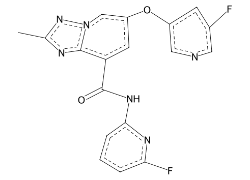 Cc1nc2c(C(=O)Nc3cccc(F)n3)cc(Oc3cncc(F)c3)cn2n1